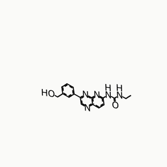 CCNC(=O)Nc1ccc2ncc(-c3cccc(CO)c3)nc2n1